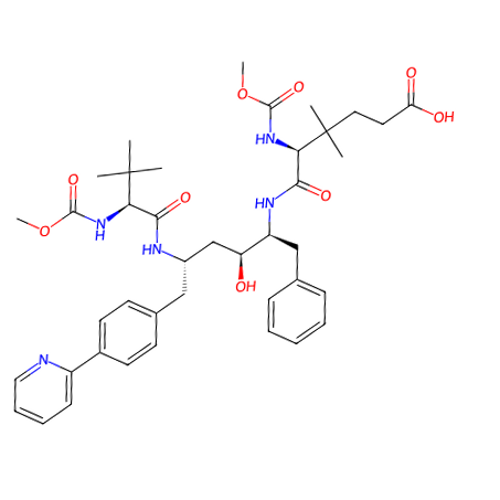 COC(=O)N[C@H](C(=O)N[C@@H](Cc1ccc(-c2ccccn2)cc1)C[C@H](O)[C@H](Cc1ccccc1)NC(=O)[C@@H](NC(=O)OC)C(C)(C)CCC(=O)O)C(C)(C)C